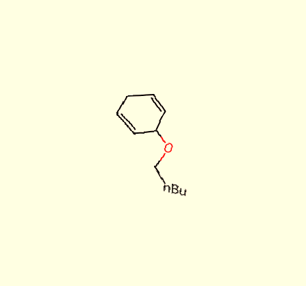 CCCCCOC1C=CCC=C1